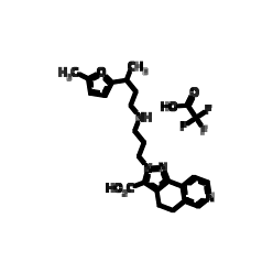 Cc1ccc(C(C)CCNCCCn2nc3c(c2C(=O)O)CCc2cnccc2-3)o1.O=C(O)C(F)(F)F